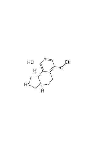 CCOc1cccc2c1CC[C@H]1CNC[C@@H]21.Cl